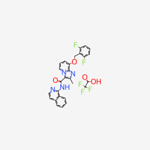 Cc1nc2c(OCc3c(F)cccc3F)cccn2c1C(=O)Nc1nccc2ccccc12.O=C(O)C(F)(F)F